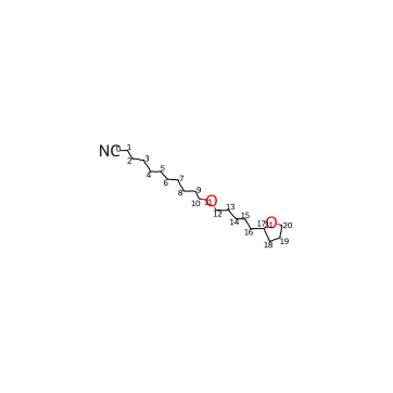 N#CCCCCCCCCCCOCCCCCC1CCCO1